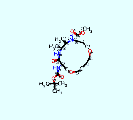 C=C1N[C@H](C(=O)OC)CCOCCCCOC[C@H](NC(=O)OC(C)(C)C)C(=O)N[C@H]1C